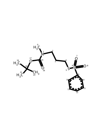 CN(CCCSS(=O)(=O)c1ccccc1)C(=O)OC(C)(C)C